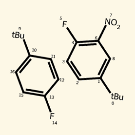 CC(C)(C)c1ccc(F)c([N+](=O)[O-])c1.CC(C)(C)c1ccc(F)cc1